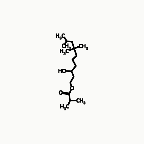 CC(C)CC(C)(C)CCCC(O)CCOC(=O)C(C)C